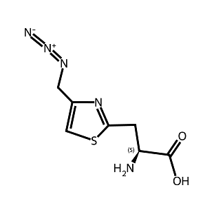 [N-]=[N+]=NCc1csc(C[C@H](N)C(=O)O)n1